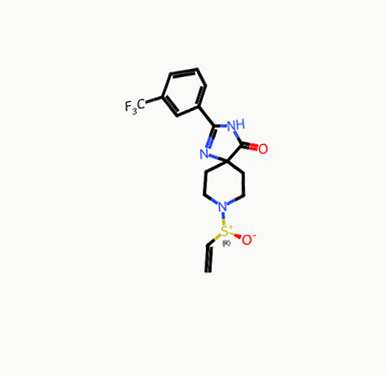 C=C[S@+]([O-])N1CCC2(CC1)N=C(c1cccc(C(F)(F)F)c1)NC2=O